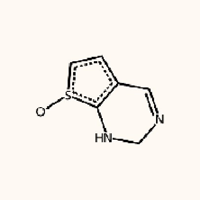 [O-][s+]1ccc2c1NCN=C2